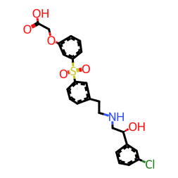 O=C(O)COc1cccc(S(=O)(=O)c2cccc(CCNC[C@@H](O)c3cccc(Cl)c3)c2)c1